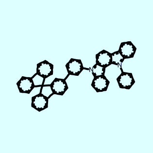 c1ccc(-n2c3ccccc3c3ccc4c(c5ccccc5n4-c4cccc(-c5ccc6c(c5)C5(c7ccccc7-c7ccccc75)c5ccccc5-6)c4)c32)cc1